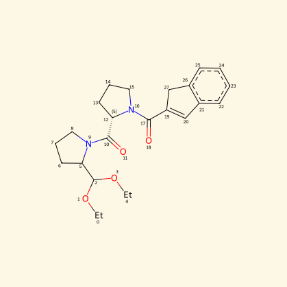 CCOC(OCC)C1CCCN1C(=O)[C@@H]1CCCN1C(=O)C1=Cc2ccccc2C1